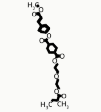 CCC(C)C(=O)OCCCOCCCOC(=O)C1CCC(C(=O)Oc2ccc(/C=C/C(=O)OC)cc2)CC1